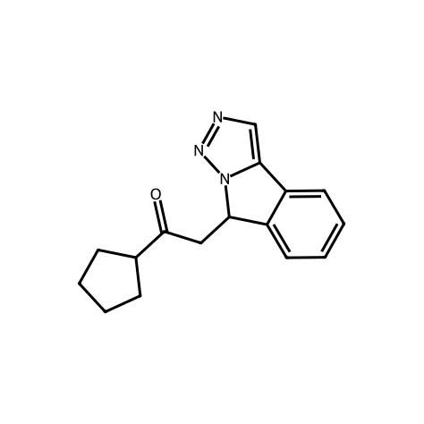 O=C(CC1c2ccccc2-c2cnnn21)C1CCCC1